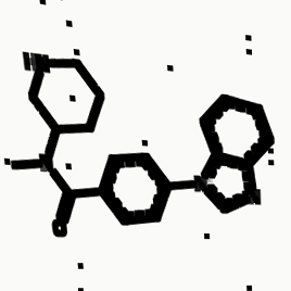 CN(C(=O)c1ccc(-n2cnc3ccccc32)cc1)C1CCCNC1